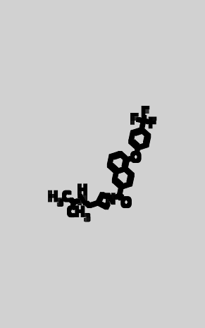 CC(C)NCC1CN(C(=O)c2ccc3c(Oc4ccc(C(F)(F)F)cc4)cccc3c2)C1